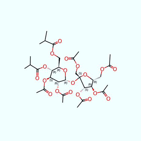 CC(=O)OC[C@H]1O[C@@](COC(C)=O)(O[C@H]2O[C@H](COC(=O)C(C)C)[C@@H](OC(=O)C(C)C)[C@H](OC(C)=O)[C@H]2OC(C)=O)[C@@H](OC(C)=O)[C@@H]1OC(C)=O